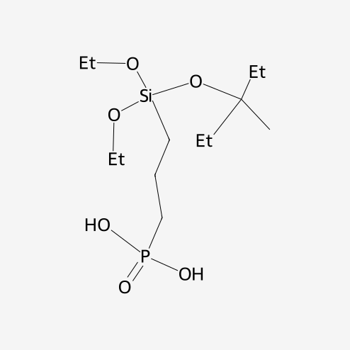 CCO[Si](CCCP(=O)(O)O)(OCC)OC(C)(CC)CC